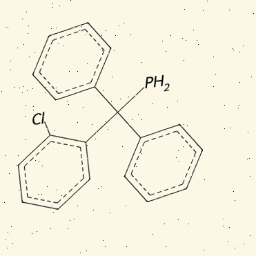 PC(c1ccccc1)(c1ccccc1)c1ccccc1Cl